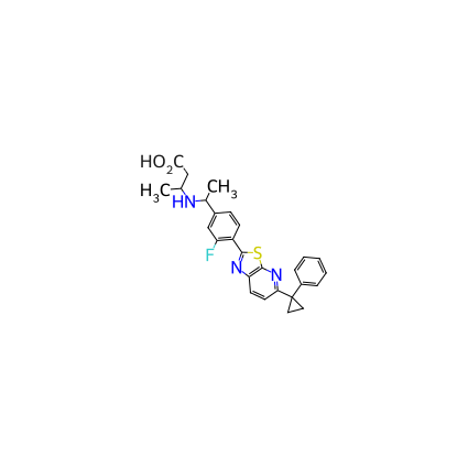 CC(CC(=O)O)NC(C)c1ccc(-c2nc3ccc(C4(c5ccccc5)CC4)nc3s2)c(F)c1